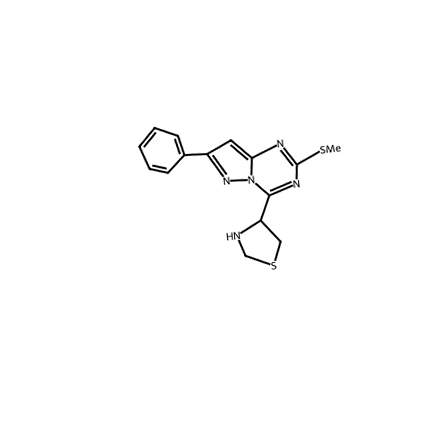 CSc1nc(C2CSCN2)n2nc(-c3ccccc3)cc2n1